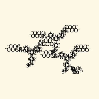 O=C([O-])CN(CC(=O)[O-])Cc1cccc(-c2cc(-c3ccc(N=C=S)cc3)cc(-c3cccc(CN(CC(=O)[O-])CC(=O)[O-])n3)n2)n1.O=C([O-])CN(CC(=O)[O-])Cc1cccc(-c2cc(-c3ccc(N=C=S)cc3)cc(-c3cccc(CN(CC(=O)[O-])CC(=O)[O-])n3)n2)n1.O=C([O-])CN(CC(=O)[O-])Cc1cccc(-c2cc(-c3ccc(N=C=S)cc3)cc(-c3cccc(CN(CC(=O)[O-])CC(=O)[O-])n3)n2)n1.[Eu+3].[Eu+3].[Eu+3].[Eu+3]